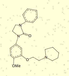 COc1ccc(N2CCN(c3ccccc3)C2=O)cc1OCCN1CCCCC1